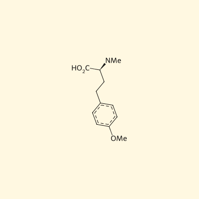 CN[C@@H](CCc1ccc(OC)cc1)C(=O)O